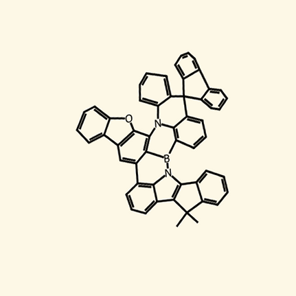 CC1(C)c2ccccc2-c2c1c1cccc3c1n2B1c2cccc4c2N(c2ccccc2C42c4ccccc4-c4ccccc42)c2c1c-3cc1c2oc2ccccc21